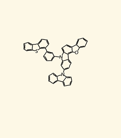 c1cc(-c2cccc3c2sc2ccccc23)cc(-n2c3cc(-n4c5ccccc5c5ccccc54)ccc3c3c4oc5ccccc5c4ccc32)c1